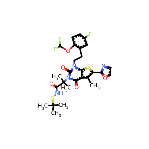 Cc1c(-c2ncco2)sc2c1c(=O)n(C(C)(C)C(=O)NSC(C)(C)C)c(=O)n2CCc1cc(F)ccc1OC(F)F